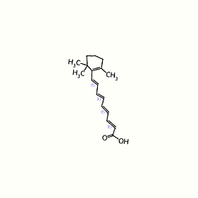 CC1=C(/C=C/C=C/C=C/C=C/C(=O)O)C(C)(C)CCC1